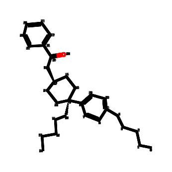 CCCCCc1ccc([C@]2(CCCCC)CC[C@H](CC(=O)c3ccccc3)CC2)cc1